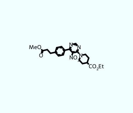 CCOC(=O)C1CCN(c2ncnc(-c3ccc(CCC(=O)OC)cc3)c2[N+](=O)[O-])CC1